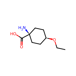 CCO[C@H]1CC[C@](N)(C(=O)O)CC1